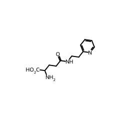 NC(CCC(=O)NCCc1ccccn1)C(=O)O